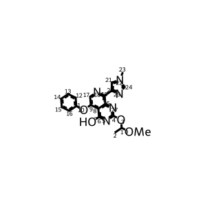 COC(C)Oc1nc(O)c2c(Oc3ccccc3)cnc(-c3cn(C)cn3)c2n1